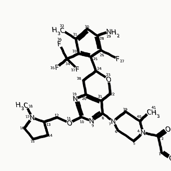 C=CC(=O)N1CCN(c2nc(OCC3CCCN3C)nc3c2COC(c2c(F)c(N)cc(C)c2C(F)(F)F)C3)CC1C